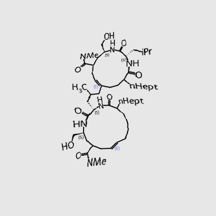 CCCCCCCC1CC/C(CC(C)C[C@@H]2NC(=O)C(CCCCCCC)CCCC/C=C/CC(C(=O)NC)C[C@@H](CO)NC2=O)=C\CC(C(=O)NC)C[C@@H](CO)NC(=O)[C@H](CC(C)C)NC1=O